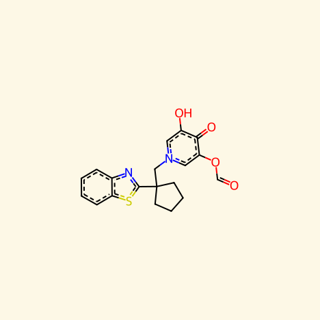 O=COc1cn(CC2(c3nc4ccccc4s3)CCCC2)cc(O)c1=O